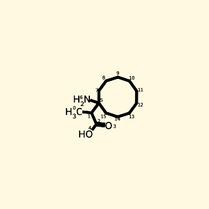 CC(C(=O)O)C1(N)CCCCCCCCC1